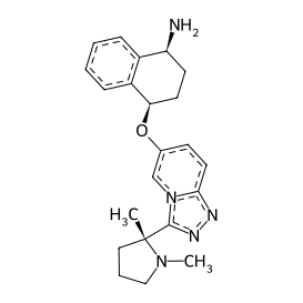 CN1CCC[C@]1(C)c1nnc2ccc(O[C@@H]3CC[C@H](N)c4ccccc43)cn12